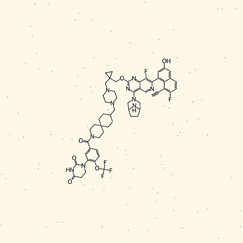 C#Cc1c(F)ccc2cc(O)cc(-c3ncc4c(N5CC6CCC(C5)N6)nc(OCC5(CN6CCN(CC7CCC8(CC7)CCN(C(=O)c7ccc(OC(F)(F)F)c(N9CCC(=O)NC9=O)c7)CC8)CC6)CC5)nc4c3F)c12